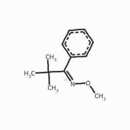 CO/N=C(\c1ccccc1)C(C)(C)C